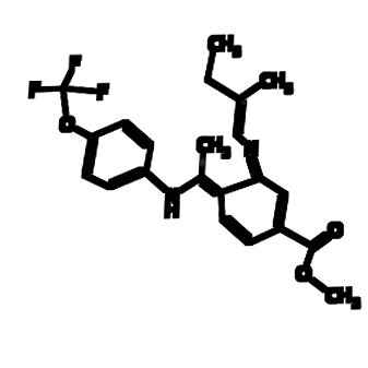 CC/C(C)=C/N=C1/C=C(C(=O)OC)C=C/C1=C(/C)Nc1ccc(OC(F)(F)F)cc1